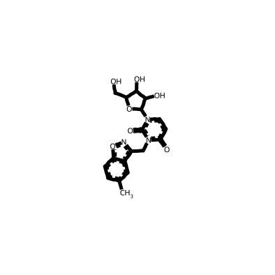 Cc1ccc2onc(Cn3c(=O)ccn(C4OC(CO)C(O)C4O)c3=O)c2c1